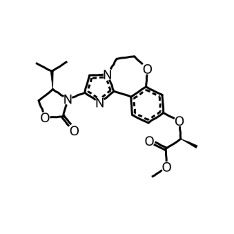 COC(=O)[C@H](C)Oc1ccc2c(c1)OCCn1cc(N3C(=O)OC[C@H]3C(C)C)nc1-2